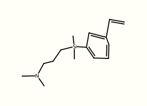 C=Cc1cccc([Si](C)(C)CCCN(C)C)c1